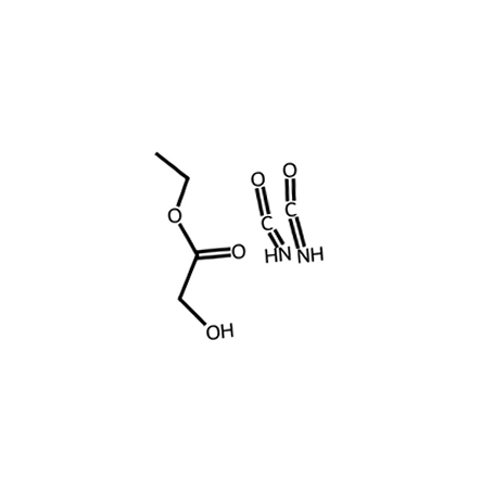 CCOC(=O)CO.N=C=O.N=C=O